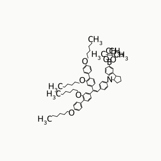 CCCCCCOc1ccc(-c2ccc(C(=Cc3ccc(N4c5ccc(B6OC(C)(C)C(C)(C)O6)cc5C5CCCC54)cc3)c3ccc(-c4ccc(OCCCCCC)cc4)c(OCCCCCC)c3)cc2OCCCCCC)cc1